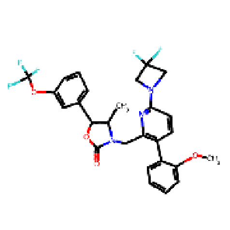 COc1ccccc1-c1ccc(N2CC(F)(F)C2)nc1CN1C(=O)OC(c2cccc(OC(F)(F)F)c2)C1C